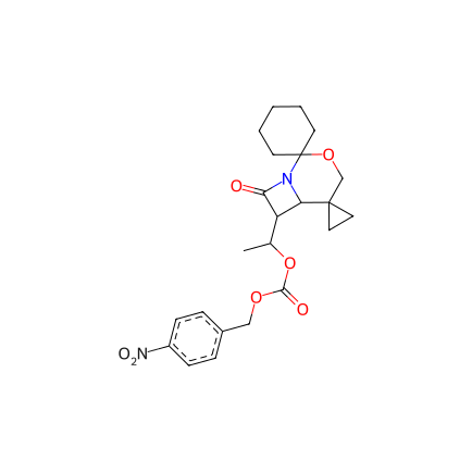 CC(OC(=O)OCc1ccc([N+](=O)[O-])cc1)C1C(=O)N2C1C1(CC1)COC21CCCCC1